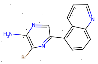 Nc1ncc(-c2cccc3ncccc23)nc1Br